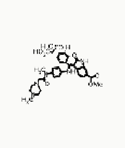 COC(=O)c1ccc2c(c1)NC(=O)C2=C(Nc1ccc(N(C)C(=O)CN2CCN(C)CC2)cc1)c1ccccc1.O.O=C(O)CC(=O)O